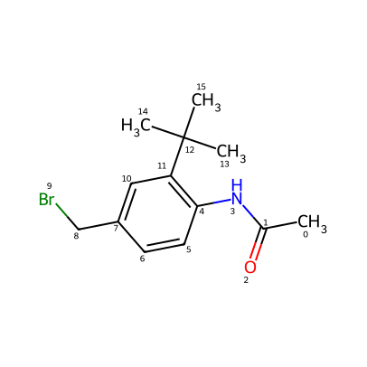 CC(=O)Nc1ccc(CBr)cc1C(C)(C)C